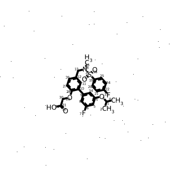 CC(C)Oc1cc(F)cc(-c2cc(CN(C)S(=O)(=O)c3ccc(F)cc3)ccc2OCC(=O)O)c1